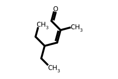 CCC(C=C(C)C=O)CC